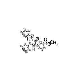 COC(=O)c1cccc(C(NCc2ccncc2)C(=O)NCc2cccnc2)c1